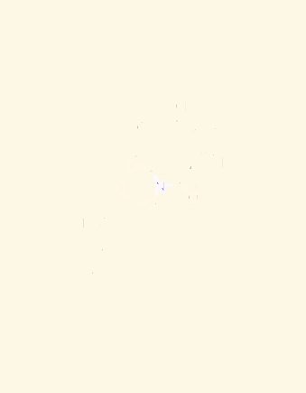 CC(Cc1ccccc1)C(=O)ON1C(=O)c2c(Cl)c(Cl)c(Cl)c(Cl)c2C1=O